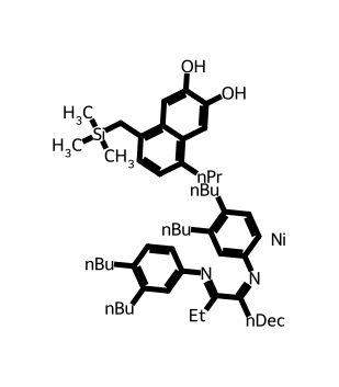 CCCCCCCCCCC(=Nc1ccc(CCCC)c(CCCC)c1)C(CC)=Nc1ccc(CCCC)c(CCCC)c1.CCCc1ccc(C[Si](C)(C)C)c2cc(O)c(O)cc12.[Ni]